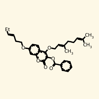 CC/C=C/CCOc1ccc2c(OC/C=C(\C)CCC=C(C)C)c(OC(=O)c3ccccc3)c(=O)oc2c1